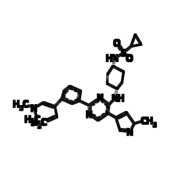 C=C/C(=C\N(C)C)c1cccc(-c2ncc(C3=CC(C)N=C3)c(N[C@H]3CC[C@@H](NS(=O)(=O)C4CC4)CC3)n2)c1